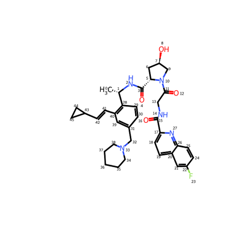 C[C@H](NC(=O)[C@@H]1C[C@@H](O)CN1C(=O)CNC(=O)c1ccc2cc(F)ccc2n1)c1ccc(CN2CCCCC2)cc1/C=C/C1CC1